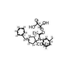 CCOC(=O)C1(N(C(=O)CC)c2cccc(C)c2)CCN(Cc2ccccc2)CC1.O=C(O)C(=O)O